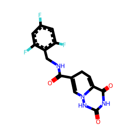 O=C1NC(=O)C2=CCC(C(=O)NCc3c(F)cc(F)cc3F)=CN2N1